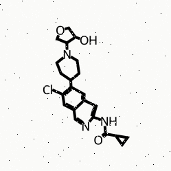 O=C(Nc1cc2cc(C3CCN(C4COCC4O)CC3)c(Cl)cc2cn1)C1CC1